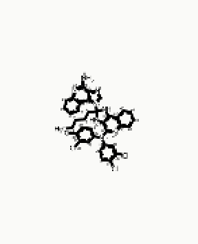 CCCCCC1(n2cnc3c(N)nc4ccccc4c32)Nc2c(N(c3ccc(Cl)c(Cl)c3)c3ccc(Cl)c(Cl)c3)nc3ccccc3c2N1